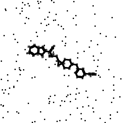 CC(=O)Nc1cccc(CN2CCC3(CC2)CC3CNC(=O)c2cc3ccncc3o2)c1